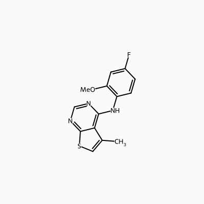 COc1cc(F)ccc1Nc1ncnc2scc(C)c12